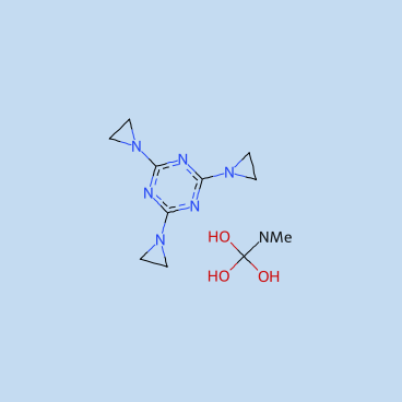 C1CN1c1nc(N2CC2)nc(N2CC2)n1.CNC(O)(O)O